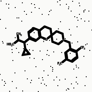 CC(C(=O)O)C(c1ccc2c(c1)OC1(CC2)CCN(Cc2cc(C(F)(F)F)ccc2C(F)(F)F)CC1)C1CC1